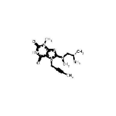 CC#CCn1c(N(C)C[C@H](C)N)nc2c1c(=O)[nH]c(=O)n2C